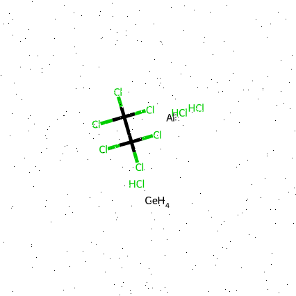 Cl.Cl.Cl.ClC(Cl)(Cl)C(Cl)(Cl)Cl.[Al].[GeH4]